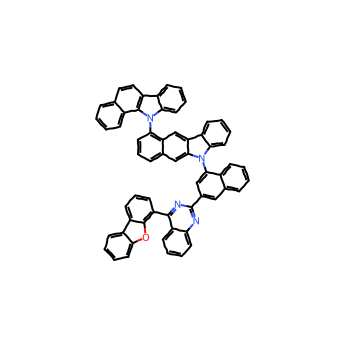 c1ccc2c(-n3c4ccccc4c4cc5c(-n6c7ccccc7c7ccc8ccccc8c76)cccc5cc43)cc(-c3nc(-c4cccc5c4oc4ccccc45)c4ccccc4n3)cc2c1